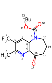 Cc1nc2c(cc1C(F)(F)F)N(C(=O)OC(C)(C)C)CCCC2=O